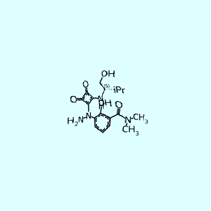 CC(C)[C@@H](CO)Nc1c(N(N)c2cccc(C(=O)N(C)C)c2O)c(=O)c1=O